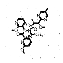 COc1cccc(C(=O)N(c2cccnc2OC)N(C(=N)N)S(=O)(=O)[C@@H](C)[C@H](OC)c2ncc(C)cn2)n1